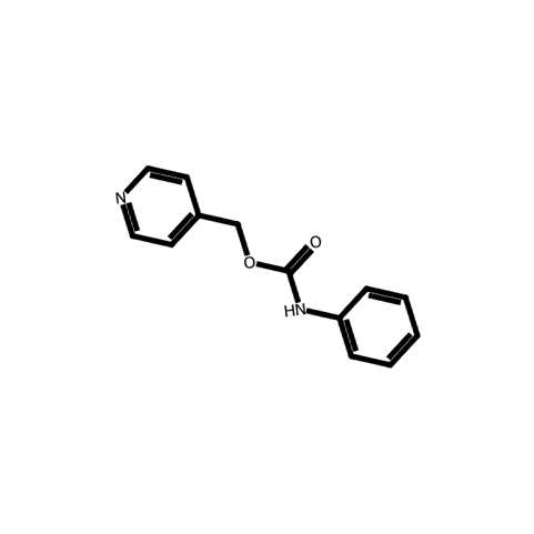 O=C(Nc1ccccc1)OCc1ccncc1